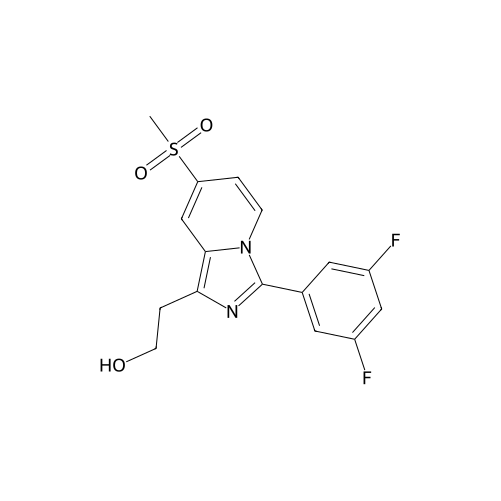 CS(=O)(=O)c1ccn2c(-c3cc(F)cc(F)c3)nc(CCO)c2c1